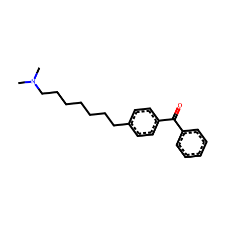 CN(C)CCCCCCCc1ccc(C(=O)c2ccccc2)cc1